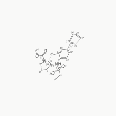 CCS(=O)(=O)N[C@@H]1CCCN(C(=O)OC)[C@@H]1Cc1cccc(-c2ccccc2)c1